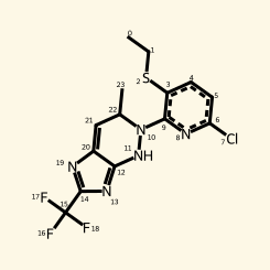 CCSc1ccc(Cl)nc1N1NC2=NC(C(F)(F)F)=NC2=CC1C